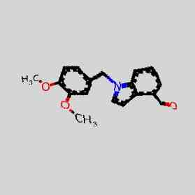 COc1ccc(Cn2ccc3c(C=O)cccc32)cc1OC